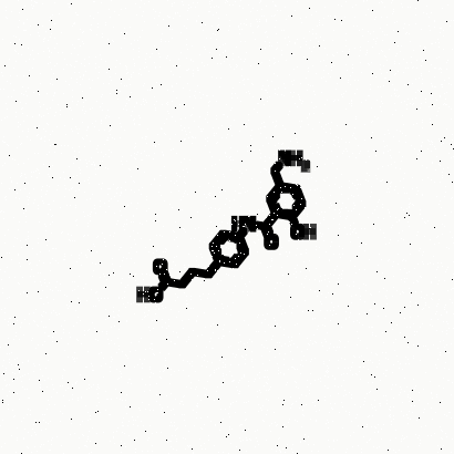 NCc1ccc(O)c(C(=O)Nc2ccc(CCCC(=O)O)cc2)c1